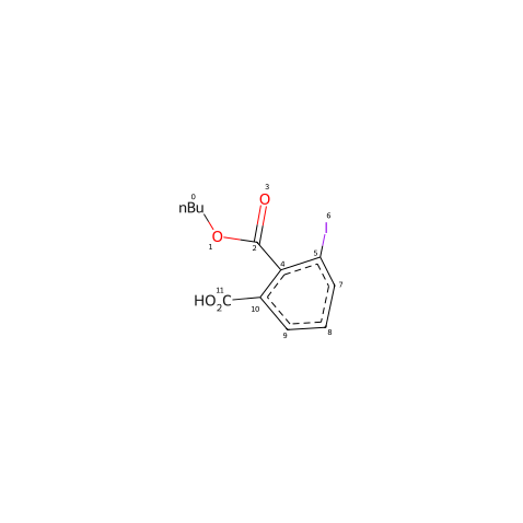 CCCCOC(=O)c1c(I)cccc1C(=O)O